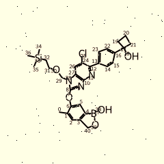 Cc1cc2c(cc1Oc1nc3nc(-c4ccc(C5(O)CCC5)cc4)c(Cl)cc3n1COCC[Si](C)(C)C)B(O)OC2